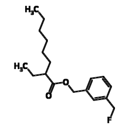 CCCCCCC(CC)C(=O)OCc1cccc(CF)c1